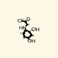 Cl.O=C(Cl)CNc1ccc(O)cc1